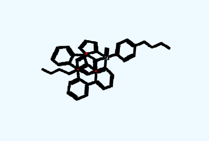 [CH2]=[Zr]([C]1=CC=CC1)([c]1ccc(CCCC)cc1)([c]1ccc(CCCC)cc1)[c]1cccc2c1c1c(c3ccccc32)-c2ccccc2C1